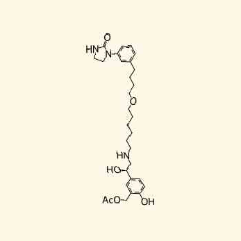 CC(=O)OCc1cc([C@@H](O)CNCCCCCCOCCCCc2cccc(N3CCNC3=O)c2)ccc1O